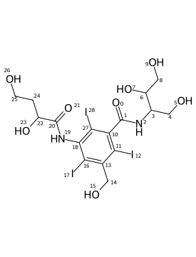 O=C(NC(CO)C(O)CO)c1c(I)c(CO)c(I)c(NC(=O)C(O)CCO)c1I